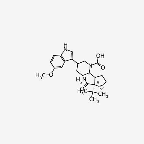 COc1ccc2[nH]cc(C3CCC(C4CCO[C@]4(C(N)=O)C(C)(C)C)N(C(=O)O)C3)c2c1